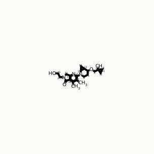 Cc1c(N2CCC(OCC3(C)CC3)C3CC32)nc2c(c1C)C(=O)N(CCO)C2